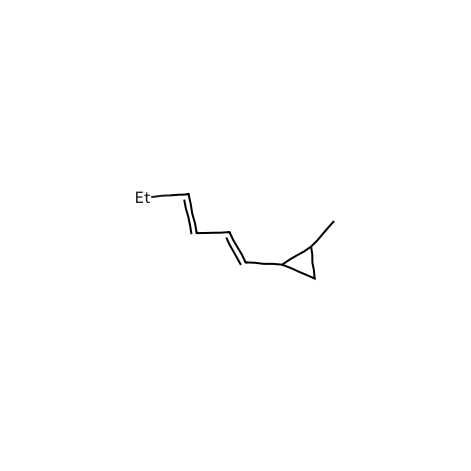 CCC=CC=CC1CC1C